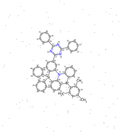 Cc1cc(C)c(B2c3ccccc3N3c4cc(-c5nc(-c6ccccc6)nc(-c6ccccc6)n5)ccc4[Si](c4ccccc4)(c4ccccc4)c4cccc2c43)c(C)c1